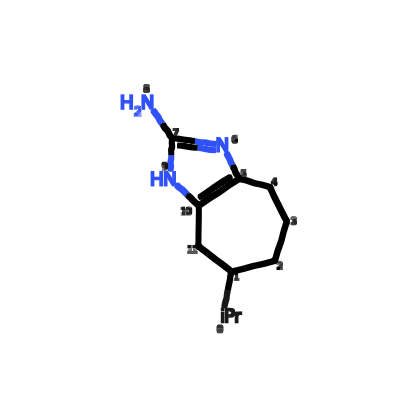 CC(C)C1CCCc2nc(N)[nH]c2C1